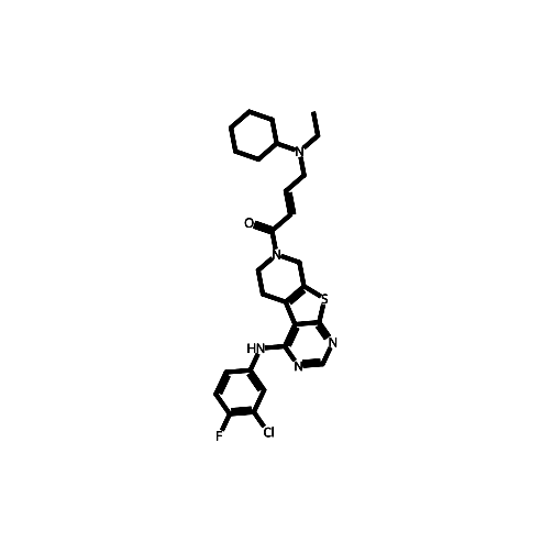 CCN(C/C=C/C(=O)N1CCc2c(sc3ncnc(Nc4ccc(F)c(Cl)c4)c23)C1)C1CCCCC1